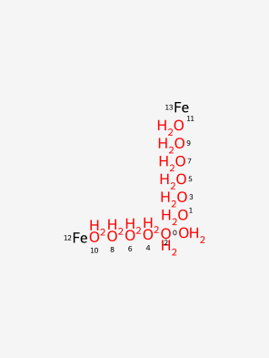 O.O.O.O.O.O.O.O.O.O.O.O.[Fe].[Fe]